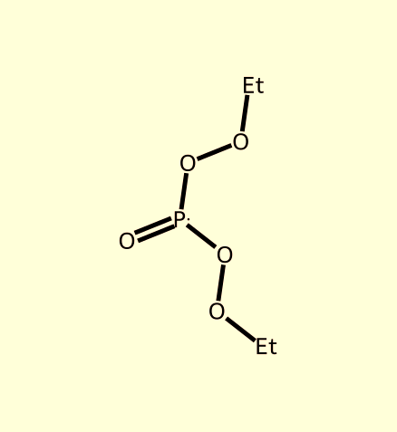 CCOO[P](=O)OOCC